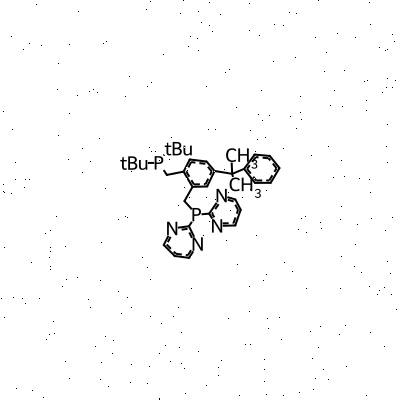 CC(C)(c1ccccc1)c1ccc(CP(C(C)(C)C)C(C)(C)C)c(CP(c2ncccn2)c2ncccn2)c1